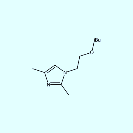 CCC(C)OCCn1cc(C)nc1C